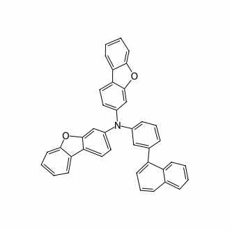 c1cc(-c2cccc3ccccc23)cc(N(c2ccc3c(c2)oc2ccccc23)c2ccc3c(c2)oc2ccccc23)c1